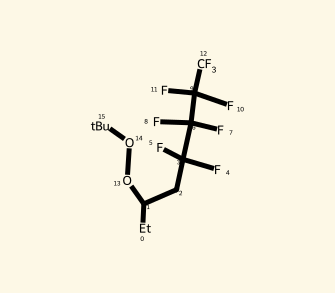 CCC(CC(F)(F)C(F)(F)C(F)(F)C(F)(F)F)OOC(C)(C)C